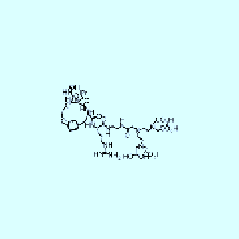 CC(C)C[C@H]1C(=O)N[C@H](C(=O)N[C@@H](CCCNC(=N)N)C(=O)NCCNC(=O)CN(CCN(CC(=O)O)CC(=O)O)CCN(CC(=O)O)CC(O)O)Cc2ccc(cc2)OCCC[C@@H]1C(=O)NO